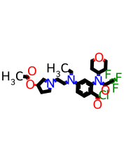 CCN(CCN1CC[C@@H](OC(C)=O)C1)c1ccc(C(=O)Cl)c(N(C(=O)C(F)(F)F)C2CCOCC2)c1